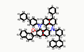 c1ccc(-c2ccc(N(c3cccc(-c4cccc5ccccc45)c3)c3ccccc3-c3ccccc3N(c3ccc(-c4ccccc4)cc3)c3cccc4c3oc3c5ccccc5ccc43)cc2)cc1